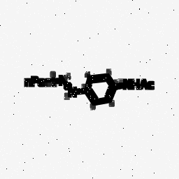 CCCCCN=Nc1ccc(NC(C)=O)cc1